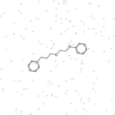 [c]1ccc(CCCOCCOc2ccccc2)cc1